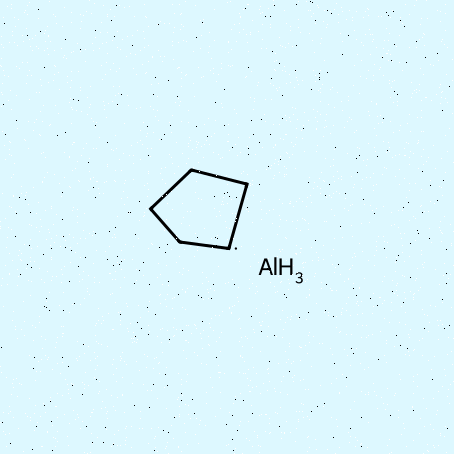 [AlH3].[CH]1CCCC1